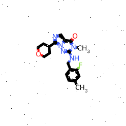 Cc1ccc(CNc2nn3c(C4CCOCC4)ncc3c(=O)n2C)c(F)c1